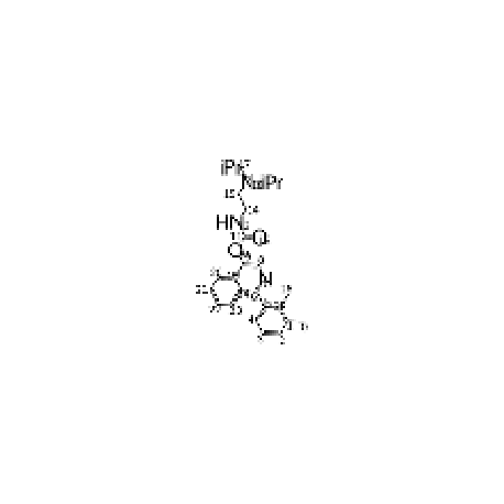 Cc1cccc(-c2ncc(OC(=O)NCCN(C(C)C)C(C)C)c3ccccc23)c1C